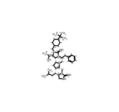 CC(C)CC[C@@H]1CNC(=N)N1C[C@@H]1CCCN1C[C@@H](Cc1ccccc1)N1C[C@@H](C(C)O)N(CC2CCC(C(C)(C)C)CC2)C1=N